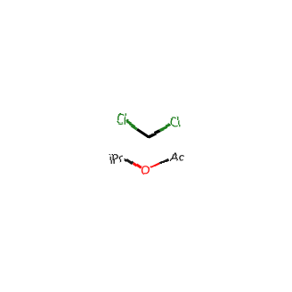 CC(=O)OC(C)C.ClCCl